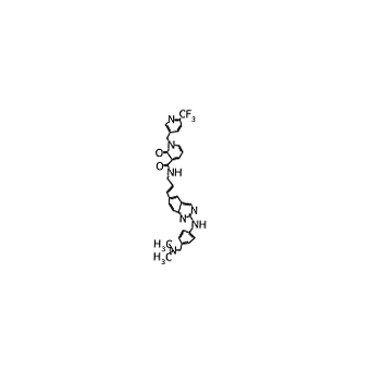 CN(C)Cc1ccc(Nc2ncc3cc(C=CCNC(=O)c4cccn(Cc5ccc(C(F)(F)F)nc5)c4=O)ccc3n2)cc1